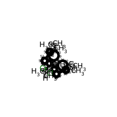 CCC1(CC2=Cc3c(-c4ccc([Si](C)(C)C)cc4)cccc3[CH]2[Zr]([Cl])([Cl])([CH]2C(CC3(CC)CCCCCCCC3)=Cc3c(-c4ccc([Si](C)(C)C)cc4)cccc32)[SiH](C)C)CCCCCCCC1